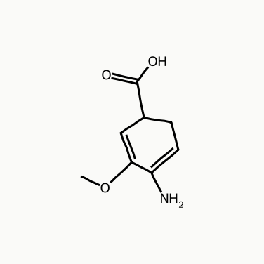 COC1=CC(C(=O)O)CC=C1N